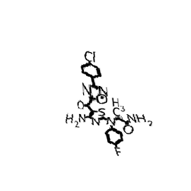 C[C@H](C(N)=O)N(c1ccc(F)cc1)c1nc(N)c(C(=O)c2nc(-c3ccc(Cl)cc3)no2)s1